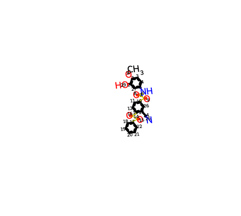 COc1ccc(NS(=O)(=O)c2ccc(S(=O)(=O)c3ccccc3)c(C#N)c2)cc1O